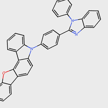 c1ccc(-n2c(-c3ccc(-n4c5ccccc5c5c6oc7ccccc7c6ccc54)cc3)nc3ccccc32)cc1